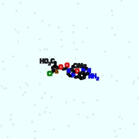 COC[C@H]1C(=O)N(Cc2ccc3c(N)ncnc3c2)CCN1C(=O)COc1sc(Cl)cc1CC(=O)O